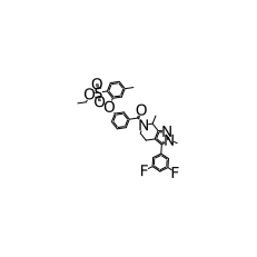 CCOS(=O)(=O)c1ccc(C)cc1Oc1cccc(C(=O)N2CCc3c(nn(C)c3-c3cc(F)cc(F)c3)C2C)c1